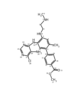 CNCCNc1cc(C)c(-c2ccc(C(=O)OC)cc2)cc1Nc1ncnc(Cl)c1N